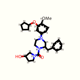 COc1ccc(N2CCN(C(=O)N3CCC(O)C3)C(Cc3ccccc3)C2)cc1OC1CCCC1